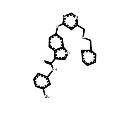 CC(C)(C)c1cccc(NC(=O)c2coc3cc(Oc4cc(COCc5ccccc5)ncn4)ccc23)c1